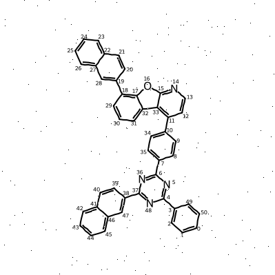 c1ccc(-c2nc(-c3ccc(-c4ccnc5oc6c(-c7ccc8ccccc8c7)cccc6c45)cc3)nc(-c3ccc4ccccc4c3)n2)cc1